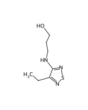 CCc1nsnc1NCCCO